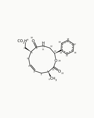 C[C@H]1CC=CC[C@@H](CC(=O)O)C(=O)NC[C@@H](c2ccccc2)OC1=O